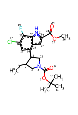 CCC1CN(C(=O)OC(C)(C)C)CC1c1cc(Cl)c(F)c2[nH]c(C(=O)OC)cc12